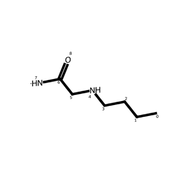 CCCCNCC([NH])=O